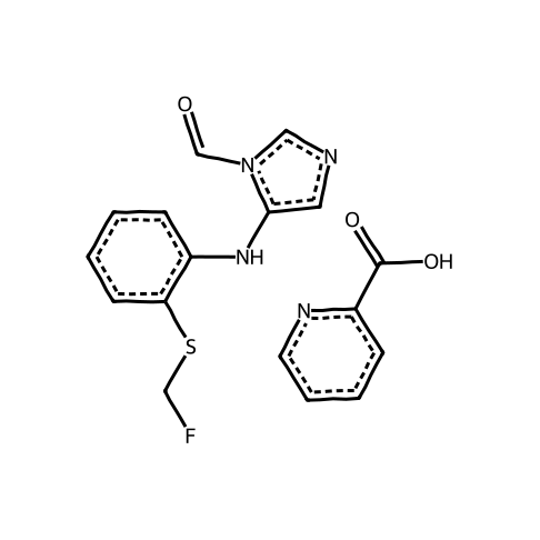 O=C(O)c1ccccn1.O=Cn1cncc1Nc1ccccc1SCF